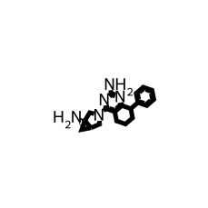 Nc1nc2c(c(N3CC4C[C@@]4(N)C3)n1)CCCC2c1ccccc1